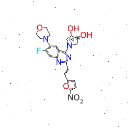 O=[N+]([O-])c1ccc(C=Cc2nc(N3C[C@@H](O)[C@H](O)C3)c3cc(N4CCOCC4)c(F)cc3n2)o1